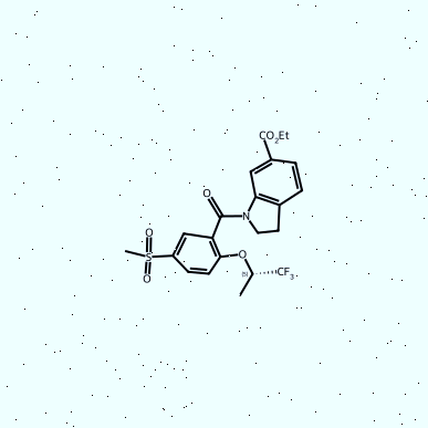 CCOC(=O)c1ccc2c(c1)N(C(=O)c1cc(S(C)(=O)=O)ccc1O[C@@H](C)C(F)(F)F)CC2